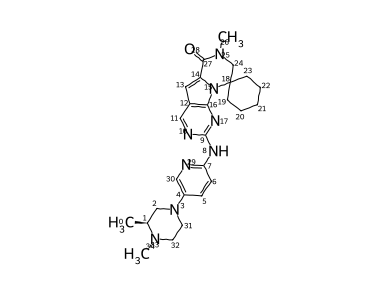 C[C@H]1CN(c2ccc(Nc3ncc4cc5n(c4n3)C3(CCCCC3)CN(C)C5=O)nc2)CCN1C